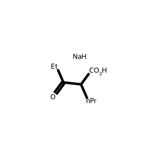 CCCC(C(=O)O)C(=O)CC.[NaH]